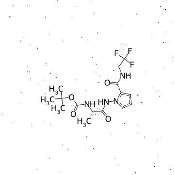 C[C@H](NC(=O)OC(C)(C)C)C(=O)Nn1cccc1C(=O)NCC(F)(F)F